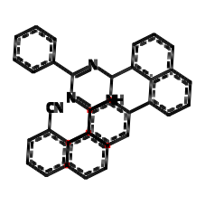 N#Cc1ccccc1-c1ccc(-c2cccc3cccc(C4N=C(c5ccccc5)N=C(c5ccccc5)N4)c23)cc1